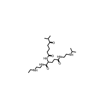 CCNCCNC(=O)C(CCC(=O)NCCNC(C)C)NC(=O)CCCC(=O)C(C)C